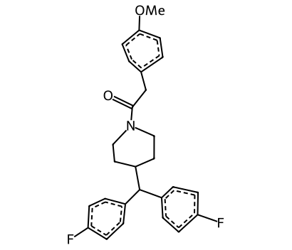 COc1ccc(CC(=O)N2CCC(C(c3ccc(F)cc3)c3ccc(F)cc3)CC2)cc1